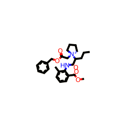 CCCC(C(=O)Nc1c(C)cccc1C(=O)OC)[N+]1(CC(=O)OCc2ccccc2)CCCC1